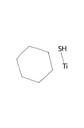 C1CCCCC1.[SH][Ti]